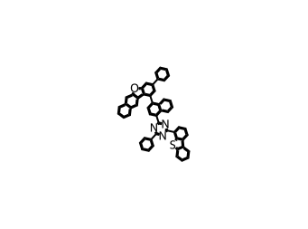 c1ccc(-c2cc(-c3ccc(-c4nc(-c5ccccc5)nc(-c5cccc6c5sc5ccccc56)n4)c4ccccc34)c3c(c2)oc2cc4ccccc4cc23)cc1